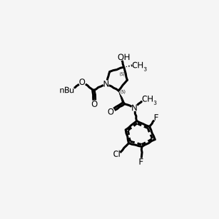 CCCCOC(=O)N1C[C@@](C)(O)C[C@H]1C(=O)N(C)c1cc(Cl)c(F)cc1F